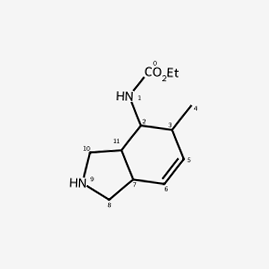 CCOC(=O)NC1C(C)C=CC2CNCC21